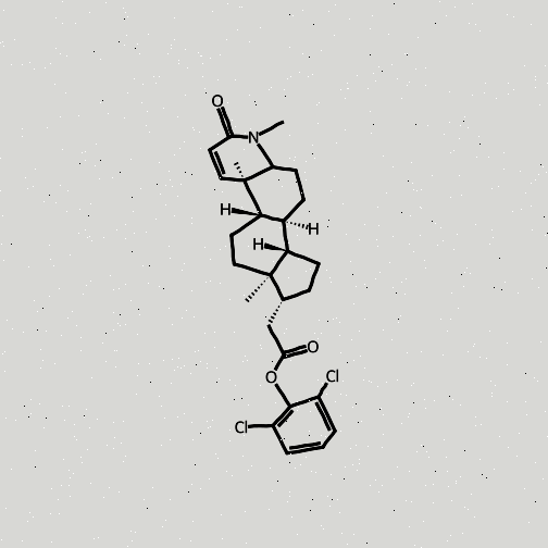 CN1C(=O)C=C[C@@]2(C)C1CC[C@H]1[C@@H]3CC[C@H](CC(=O)Oc4c(Cl)cccc4Cl)[C@@]3(C)CC[C@@H]12